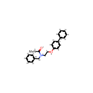 CNC(=O)N(CCOc1ccc(-c2ccccc2)cc1)Cc1ccccc1